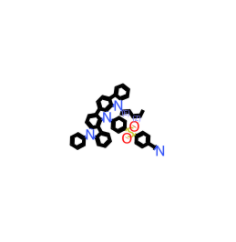 C/C=C\C=C(/C)n1c2ccccc2c2ccc3c4ccc5c(c6ccccc6n5-c5ccccc5)c4n(C4=CC=C(S(=O)(=O)c5ccc(C#N)cc5)CC4)c3c21